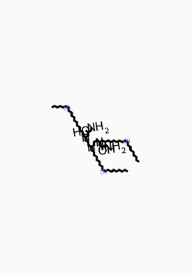 CCCCCC=CC/C=C\CCCCCCCCN(CCCN(CCCCCCCCC=CC/C=C\CCCCC)CC(O)CN)CCCN(CCCCCCCC/C=C\CC=CCCCCC)CC(O)CN